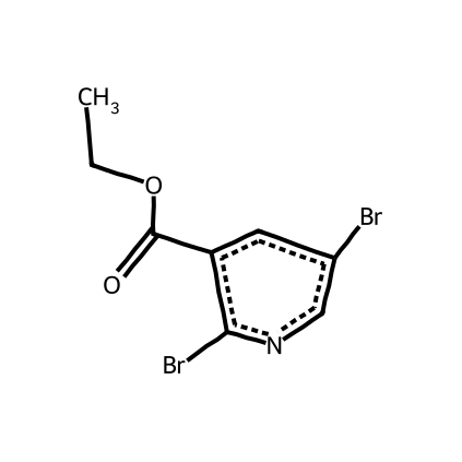 CCOC(=O)c1cc(Br)cnc1Br